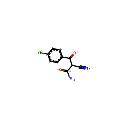 N#CC(C(=O)c1ccc(Cl)cc1)C(N)=S